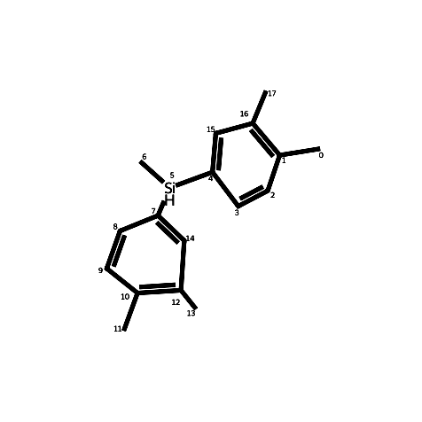 Cc1ccc([SiH](C)c2ccc(C)c(C)c2)cc1C